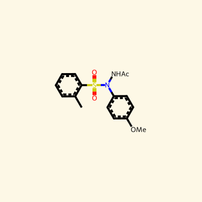 COc1ccc(N(NC(C)=O)S(=O)(=O)c2ccccc2C)cc1